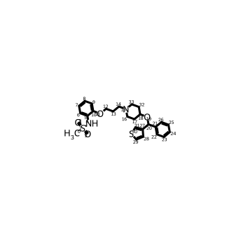 CS(=O)(=O)Nc1ccccc1OCCCN1CCC(OC(c2ccccc2)c2ccsc2)CC1